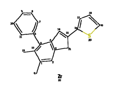 Cc1cc2c(c(-c3ccccc3)c1C)C=C(c1cccs1)[CH]2.[Zr]